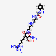 N=C(N)NCCCCCC(C(=O)NCCCCNCCCNC(=O)CNc1ccccc1)[C@@H](CO)C(N)=O